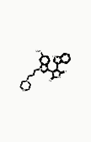 CSc1ccc2c(C3=C(c4c[nH]c5ccccc45)C(=O)NC3=O)cn(CCCN3CCOCC3)c2c1